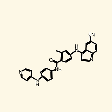 Cc1cc(Nc2ccnc3ccc(C#N)cc23)ccc1C(=O)Nc1ccc(Nc2ccncc2)cc1